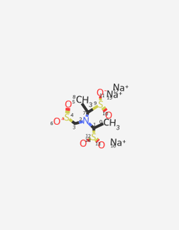 CC(N(CS(=O)[O-])C(C)S(=O)[O-])S(=O)[O-].[Na+].[Na+].[Na+]